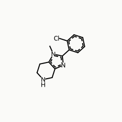 Cn1c(-c2ccccc2Cl)nc2c1CCNC2